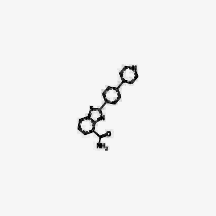 NC(=O)c1cccc2sc(-c3ccc(-c4ccncc4)cc3)nc12